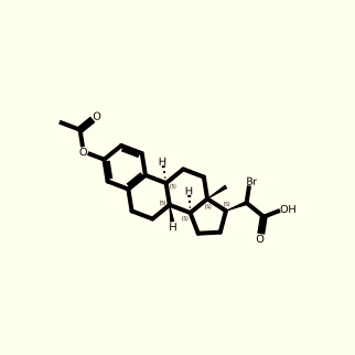 CC(=O)Oc1ccc2c(c1)CC[C@@H]1[C@@H]2CC[C@]2(C)[C@@H](C(Br)C(=O)O)CC[C@@H]12